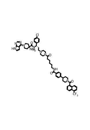 NC1(C(=O)N[C@@H](CCN2CCN(C(=O)CCCCCNC(=O)c3ccc(C4CCN(C(=O)c5cccc6c(C(F)(F)F)cccc56)CC4)cc3)CC2)c2ccc(Cl)cc2)CCN(c2ncnc3[nH]ccc23)CC1